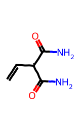 C=C[C](C(N)=O)C(N)=O